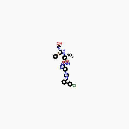 O=[N+]([O-])c1cc(S(=O)(=O)Nc2ncnc3cc(N4CCN(Cc5ccccc5-c5ccc(Cl)cc5)CC4)ccc23)ccc1NC(CCN1CC(O)C1)CSc1ccccc1